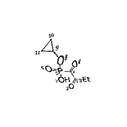 CCC(=O)C(=O)P(=O)(O)OC1CC1